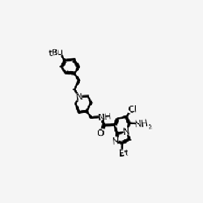 CCc1cn2c(N)c(Cl)cc(C(=O)NCC3CCN(CCc4ccc(C(C)(C)C)cc4)CC3)c2n1